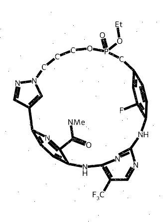 CCOP1(=O)Cc2ccc(c(F)c2)Nc2ncc(C(F)(F)F)c(n2)Nc2ccc(nc2C(=O)NC)-c2cnn(c2)CCCO1